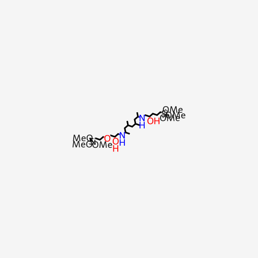 CO[Si](CCCOCC(O)CNC(C)CC(C)CC(C)CC(C)NCC(O)CCC[Si](OC)(OC)OC)(OC)OC